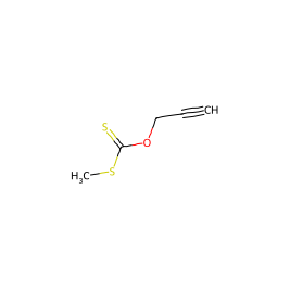 C#CCOC(=S)SC